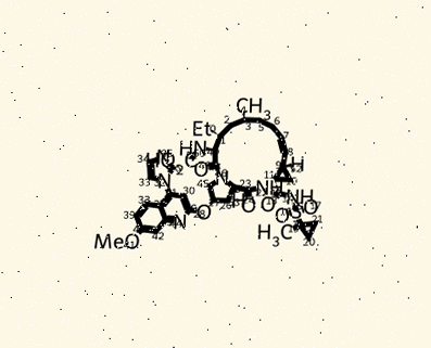 CC[C@@H]1C[C@H](C)CCC=C[C@@H]2C[C@@]2(C(=O)NS(=O)(=O)C2(C)CC2)NC(=O)[C@@H]2C[C@@H](Oc3cc(-n4ccnc4)c4ccc(OC)cc4n3)CN2C(=O)[C@H]1NC(=O)O